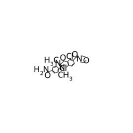 Cc1cc(C(N)=O)cc2c1nc(C(=O)c1c(Cl)ccc(C(=O)N3CCOCC3)c1Cl)n2C